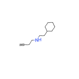 C#CCCNCCC1CCCCC1